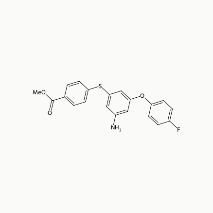 COC(=O)c1ccc(Sc2cc(N)cc(Oc3ccc(F)cc3)c2)cc1